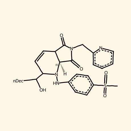 CCCCCCCCCCC(O)C1C=CC2C(=O)N(Cc3ccccn3)C(=O)[C@H]2N1Nc1ccc(S(C)(=O)=O)cc1